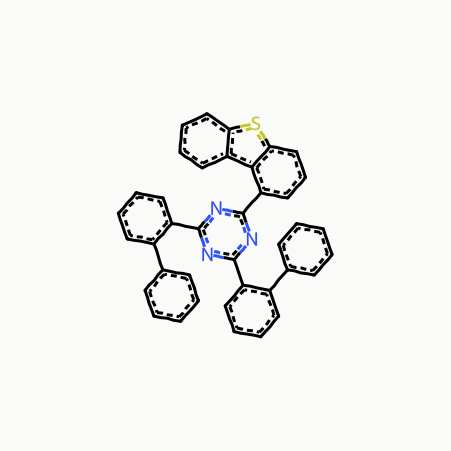 c1ccc(-c2ccccc2-c2nc(-c3ccccc3-c3ccccc3)nc(-c3cccc4sc5ccccc5c34)n2)cc1